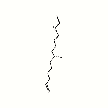 CCOCCCCC(=O)CCCCC=O